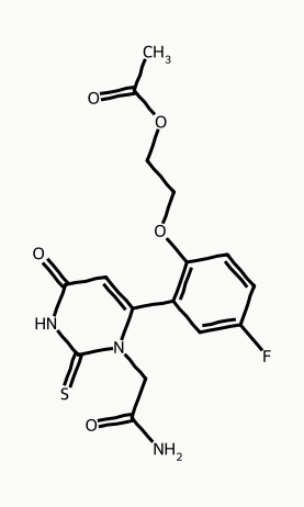 CC(=O)OCCOc1ccc(F)cc1-c1cc(=O)[nH]c(=S)n1CC(N)=O